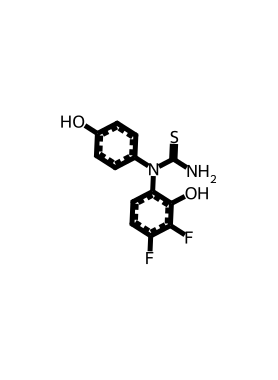 NC(=S)N(c1ccc(O)cc1)c1ccc(F)c(F)c1O